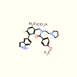 CC(=O)O.O=C(c1ccc(OC(F)(F)F)cc1)N(CCN1CCCC1)Cc1ccc(F)c(-c2ccc3[nH]ccc3c2)c1